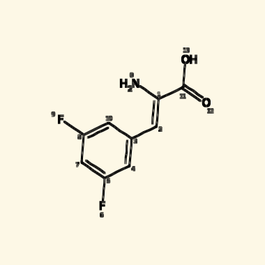 N/C(=C\c1cc(F)cc(F)c1)C(=O)O